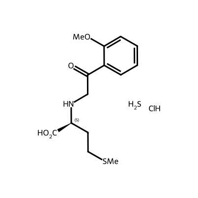 COc1ccccc1C(=O)CN[C@@H](CCSC)C(=O)O.Cl.S